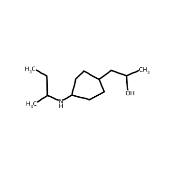 CCC(C)NC1CCC(CC(C)O)CC1